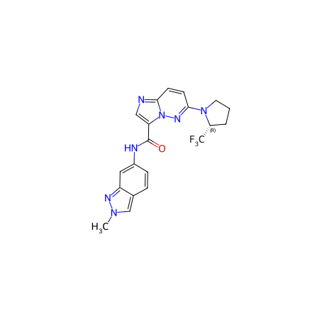 Cn1cc2ccc(NC(=O)c3cnc4ccc(N5CCC[C@@H]5C(F)(F)F)nn34)cc2n1